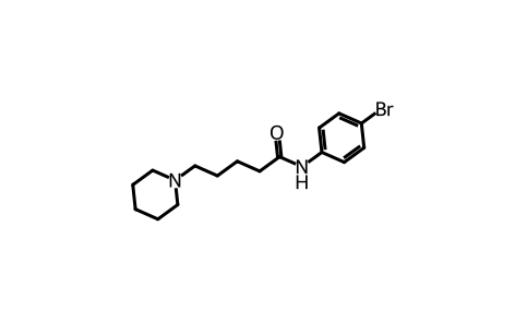 O=C(CCCCN1CCCCC1)Nc1ccc(Br)cc1